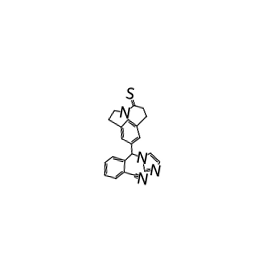 N#Cc1ccccc1C(c1cc2c3c(c1)CCN3C(=S)CC2)n1ccnc1